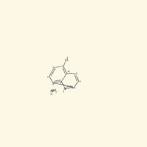 Clc1ccc2c3nc-2ccc13.N